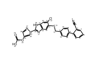 N#Cc1ccccc1-c1ccc(CSc2cc3nc(-n4cc(OC(=O)O)cn4)[nH]c3cc2Cl)cc1